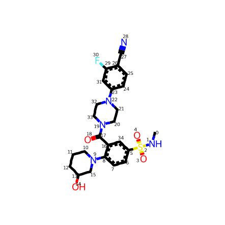 CNS(=O)(=O)c1ccc(N2CCCC(O)C2)c(C(=O)N2CCN(c3ccc(C#N)c(F)c3)CC2)c1